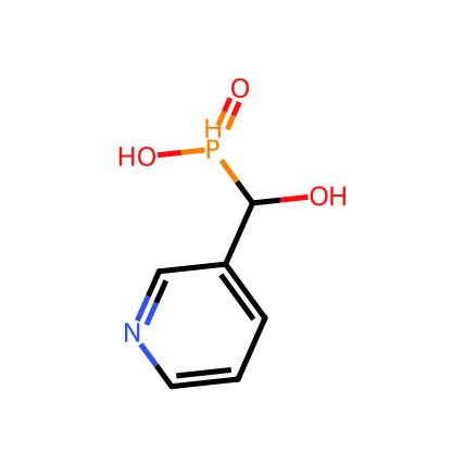 O=[PH](O)C(O)c1cccnc1